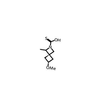 CO[C@H]1C[C@@]2(CN(C(O)=S)C2C)C1